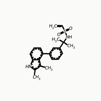 C=CS(=O)(=O)NC(C)(C)c1cccc(-c2cccc3[nH]c(C)c(C)c23)c1